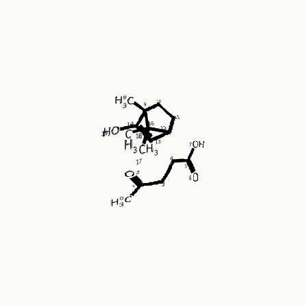 CC(=O)CCC(=O)O.CC12CCC(C=C1O)C2(C)C